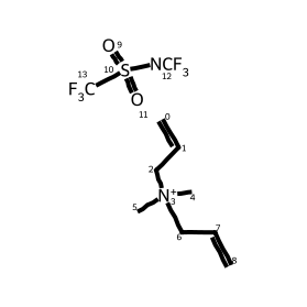 C=CC[N+](C)(C)CC=C.O=S(=O)(NC(F)(F)F)C(F)(F)F